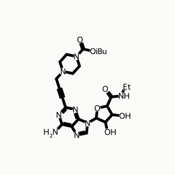 CCNC(=O)C1OC(n2cnc3c(N)nc(C#CCN4CCN(C(=O)OCC(C)C)CC4)nc32)C(O)C1O